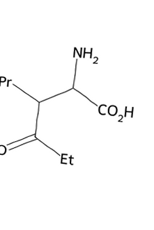 CCCC(C(=O)CC)C(N)C(=O)O